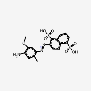 COc1cc(/N=N/c2ccc3c(S(=O)(=O)O)cccc3c2S(=O)(=O)O)c(C)cc1N